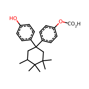 CC1CC(c2ccc(O)cc2)(c2ccc(OC(=O)O)cc2)CC(C)(C)C1(C)C